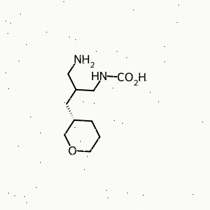 NCC(CNC(=O)O)C[C@@H]1CCCOC1